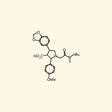 CCCCN(C)C(=O)CN1CC(c2ccc3c(c2)OCO3)C(C(=O)O)C1c1ccc(OC)cc1